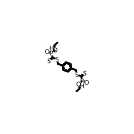 CCO[PH](=O)C(=S)SCc1ccc(CSC(=S)[PH](=O)OCC)cc1